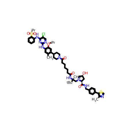 Cc1cc(Nc2ncc(Cl)c(Nc3ccccc3S(=O)(=O)C(C)C)n2)c(OC(C)C)cc1C1CCN(C(=O)CCCCCC(=O)N[C@](C=O)(CN2C[C@H](O)C[C@H]2C(=O)NCc2ccc(-c3scnc3C)cc2)C(C)(C)C)CC1